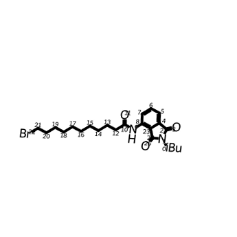 CCC(C)N1C(=O)c2cccc(NC(=O)CCCCCCCCCCBr)c2C1=O